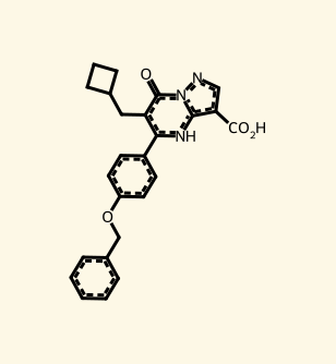 O=C(O)c1cnn2c(=O)c(CC3CCC3)c(-c3ccc(OCc4ccccc4)cc3)[nH]c12